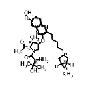 COc1ccc2nc(CCCCC[C@@H]3C[C@@H]4[C@H](C)[C@@H]4C3)c(OC3CN(C(=O)[C@@H](N)C(C)(C)C)[C@H](C(C)=O)[C@@H]3C)nc2c1